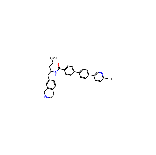 COCCC(Cc1ccc2c(c1)CNCC2)NC(=O)c1ccc(-c2ccc(-c3ccc(C)nc3)cc2)cc1